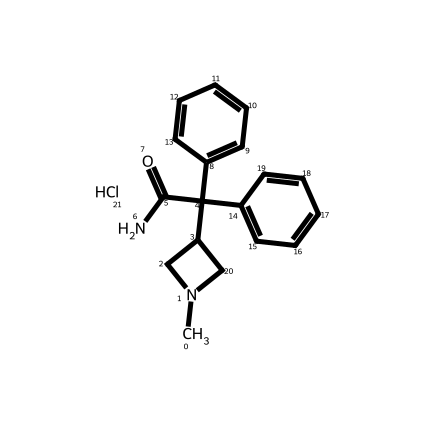 CN1CC(C(C(N)=O)(c2ccccc2)c2ccccc2)C1.Cl